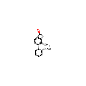 COc1ccccc1-c1ccc2c(c1C)CC2=O